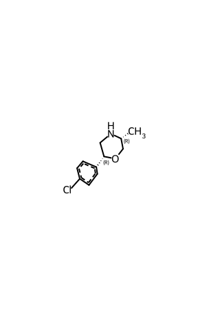 C[C@@H]1CO[C@H](c2ccc(Cl)cc2)CN1